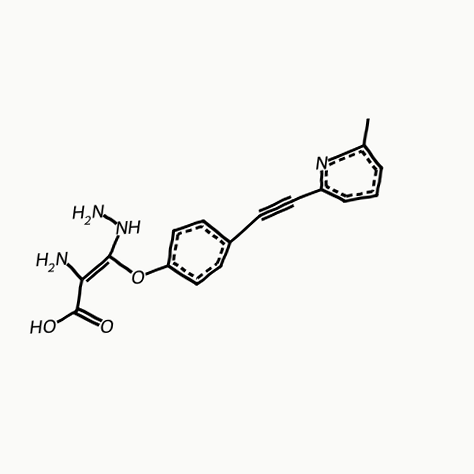 Cc1cccc(C#Cc2ccc(O/C(NN)=C(/N)C(=O)O)cc2)n1